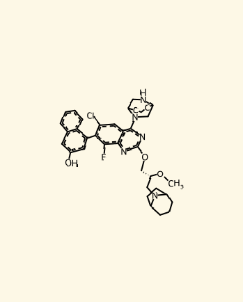 CO[C@@H](COc1nc(N2CC3CCCC2CN3)c2cc(Cl)c(-c3cc(O)cc4ccccc34)c(F)c2n1)CN1C2CCCC1CC2